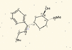 CN[C@@H]1CC[C@H](/C(=N/OC(C)(C)C)c2ccccc2)C[C@H]1O